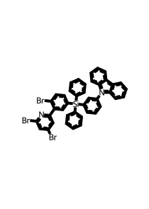 Brc1cc(Br)nc(-c2cc([Si](c3ccccc3)(c3ccccc3)c3cccc(-n4c5ccccc5c5ccccc54)c3)ccc2Br)c1